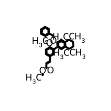 CCOC(=O)C=Cc1ccc(OC)c(-c2cc3c(cc2OCc2ccccc2)C(C)(C)CCC3(C)C)c1